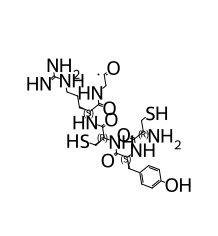 N=C(N)NCCC[C@H](NC(=O)[C@H](CS)NC(=O)[C@H](Cc1ccc(O)cc1)NC(=O)[C@@H](N)CS)C(=O)NC[C]=O